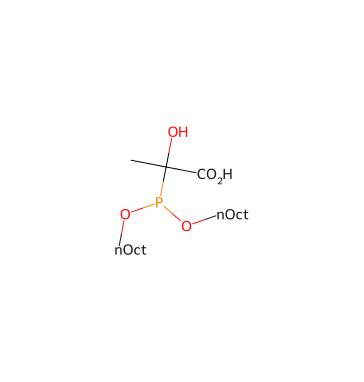 CCCCCCCCOP(OCCCCCCCC)C(C)(O)C(=O)O